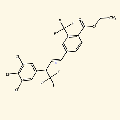 CCOC(=O)c1ccc(/C=C/C(c2cc(Cl)c(Cl)c(Cl)c2)C(F)(F)F)cc1C(F)(F)F